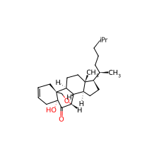 CC(C)CCC[C@@H](C)[C@H]1CC[C@H]2[C@@H]3[C@H]4OC[C@@]5(CC=CC[C@]5(O)C4=O)[C@H]3CC[C@]12C